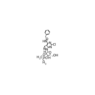 CC1(C)O[C@@H]2[C@H](O1)[C@@H](CO)O[C@H]2n1ncc2c(NOCc3ccccc3)nc(Cl)nc21